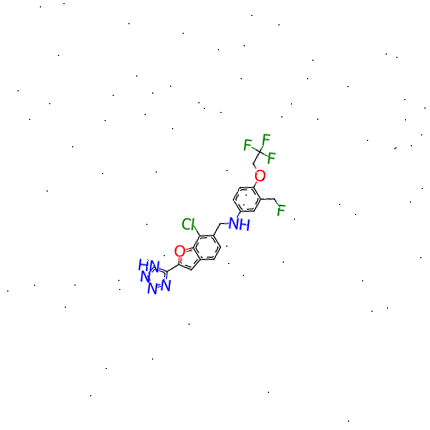 FCc1cc(NCc2ccc3cc(-c4nnn[nH]4)oc3c2Cl)ccc1OCC(F)(F)F